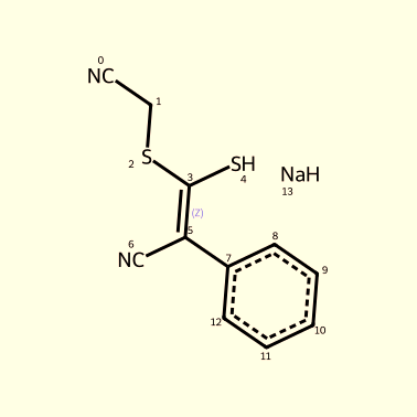 N#CCS/C(S)=C(\C#N)c1ccccc1.[NaH]